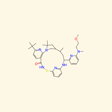 COCCN(C)c1cccc(C2CC(C)C3CN(c4nc(C(C)(C)C)ccc4C(=O)NSc4cccc(n4)N2)C(C)(C)C3)n1